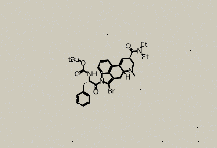 CCN(CC)C(=O)[C@@H]1C=C2c3cccc4c3c(c(Br)n4C(=O)[C@H](Cc3ccccc3)NC(=O)OC(C)(C)C)C[C@H]2N(C)C1